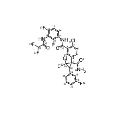 NC(=O)C1(c2ccc(Cl)c(C(=O)Nc3ccc(F)c(NC(=O)C(F)F)c3F)c2)C(c2cccc(F)c2)C1(Cl)Cl